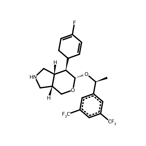 C[C@H](O[C@@H]1OC[C@@H]2CNC[C@@H]2[C@H]1C1C=CC(F)=CC1)c1cc(C(F)(F)F)cc(C(F)(F)F)c1